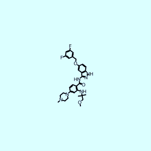 COCC(C)(C)Nc1cc(N2CCN(C)CC2)ccc1C(=O)Nc1n[nH]c2ccc(OCc3cc(F)cc(F)c3)cc12